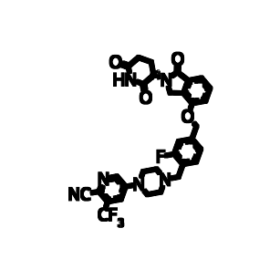 N#Cc1ncc(N2CCN(Cc3ccc(COc4cccc5c4CN([C@H]4CCC(=O)NC4=O)C5=O)cc3F)CC2)cc1C(F)(F)F